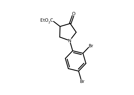 CCOC(=O)C1CN(c2ccc(Br)cc2Br)CC1=O